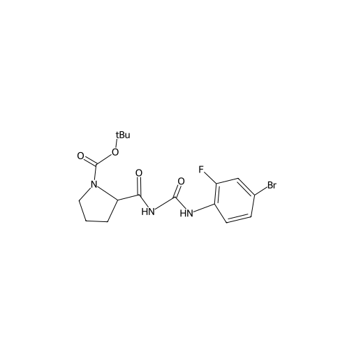 CC(C)(C)OC(=O)N1CCCC1C(=O)NC(=O)Nc1ccc(Br)cc1F